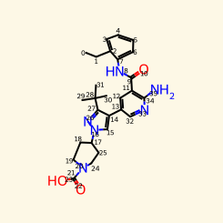 CCc1ccccc1NC(=O)c1cc(-c2cn(C3CCN(C(=O)O)CC3)nc2C(C)(C)C)cnc1N